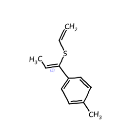 C=CS/C(=C\C)c1ccc(C)cc1